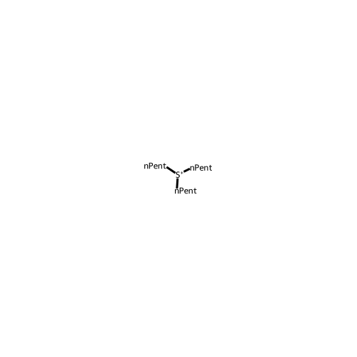 CCCCC[S+](CCCCC)CCCCC